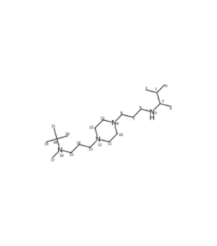 CC(C)C(C)NCCCN1CCN(CCCN(C)C(C)(C)C)CC1